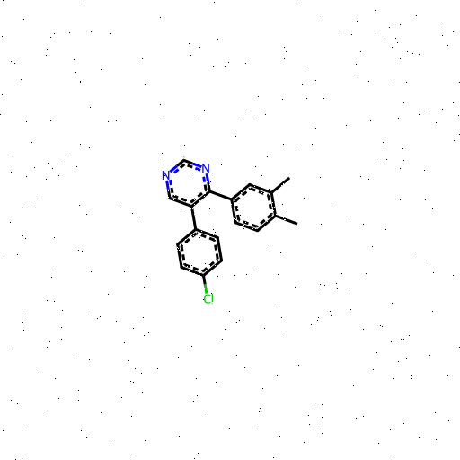 Cc1ccc(-c2n[c]ncc2-c2ccc(Cl)cc2)cc1C